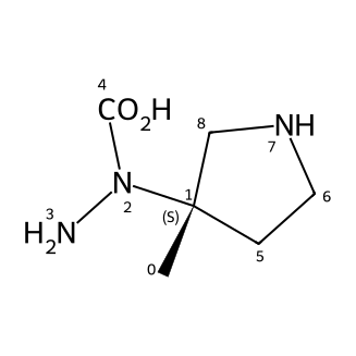 C[C@]1(N(N)C(=O)O)CCNC1